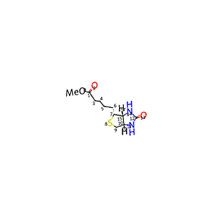 COC(=O)CCCC[C@H]1SC[C@H]2NC(=O)N[C@H]21